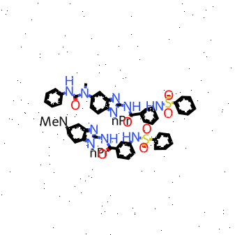 CCCn1c(NC(=O)c2cccc(NS(=O)(=O)c3ccccc3)c2)nc2cc(N(C)C(=O)Nc3ccccc3)ccc21.CCCn1c(NC(=O)c2cccc(NS(=O)(=O)c3ccccc3)c2)nc2cc(NC)ccc21